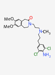 COc1cc2c(cc1OC)CC(=O)N(CCCN(C)CCCc1cc(Cl)c(N)c(Cl)c1)CC2